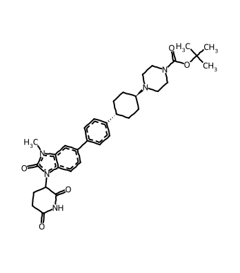 Cn1c(=O)n(C2CCC(=O)NC2=O)c2ccc(-c3ccc([C@H]4CC[C@H](N5CCN(C(=O)OC(C)(C)C)CC5)CC4)cc3)cc21